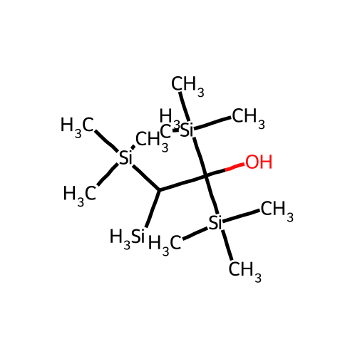 C[Si](C)(C)C([SiH3])C(O)([Si](C)(C)C)[Si](C)(C)C